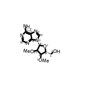 COC1C(OC)[C@@H](CO)O[C@H]1n1cnc2c(N)ncnc21